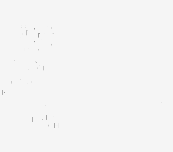 CCCCCCCCCCCCCCCCCC(=O)OP(=O)(OC(O)[C@H](O)[C@@H](O)[C@H](O)[C@H](O)CO)OP(=O)(O)O.O=P(O)(O)O